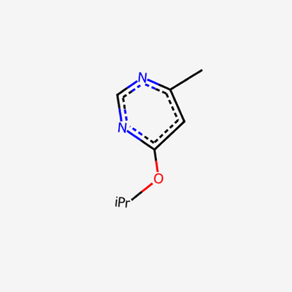 Cc1cc(OC(C)C)ncn1